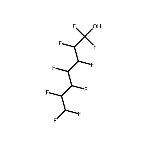 OC(F)(F)C(F)C(F)C(F)C(F)C(F)C(F)F